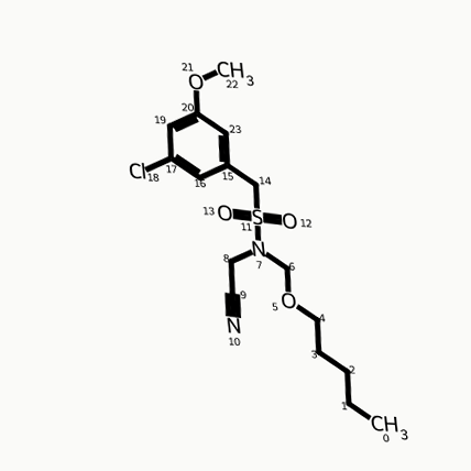 CCCCCOCN(CC#N)S(=O)(=O)Cc1cc(Cl)cc(OC)c1